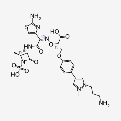 C[C@H]1[C@H](NC(=O)/C(=N\O[C@@H](COc2ccc(-c3cn(CCCN)[n+](C)c3)cc2)C(=O)O)c2csc(N)n2)C(=O)N1S(=O)(=O)O